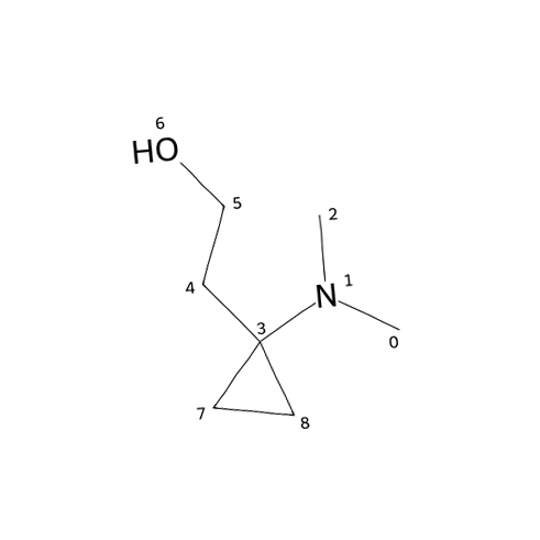 CN(C)C1(CCO)CC1